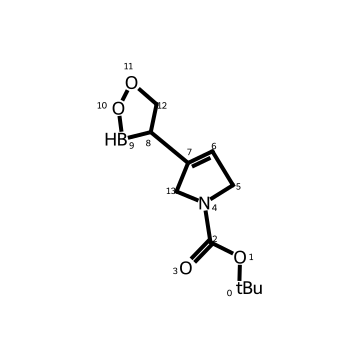 CC(C)(C)OC(=O)N1CC=C(C2BOOC2)C1